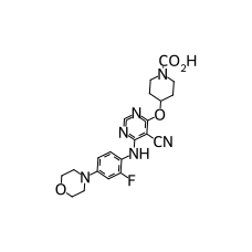 N#Cc1c(Nc2ccc(N3CCOCC3)cc2F)ncnc1OC1CCN(C(=O)O)CC1